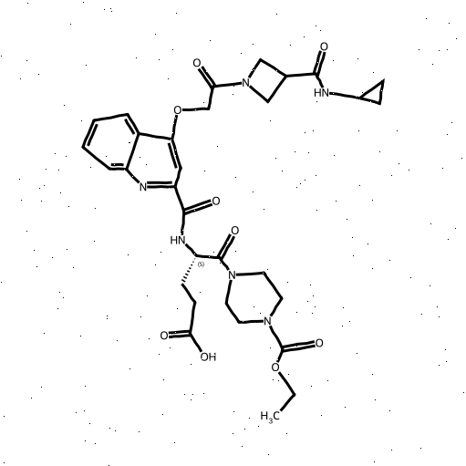 CCOC(=O)N1CCN(C(=O)[C@H](CCC(=O)O)NC(=O)c2cc(OCC(=O)N3CC(C(=O)NC4CC4)C3)c3ccccc3n2)CC1